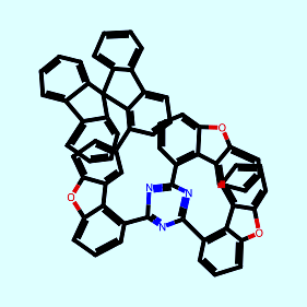 c1ccc2c(c1)-c1ccccc1C21c2ccccc2-c2cccc(-c3ccc4oc5cccc(-c6nc(-c7cccc8oc9ccccc9c78)nc(-c7cccc8oc9ccccc9c78)n6)c5c4c3)c21